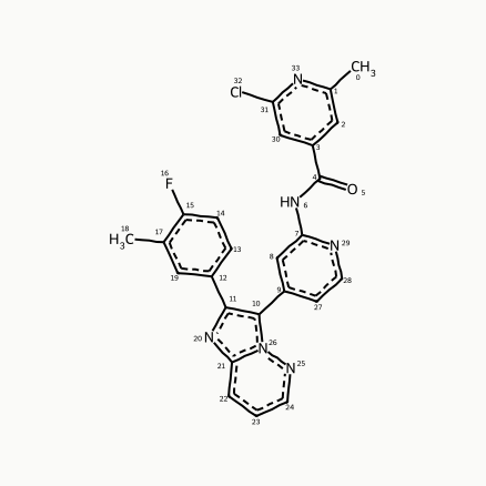 Cc1cc(C(=O)Nc2cc(-c3c(-c4ccc(F)c(C)c4)nc4cccnn34)ccn2)cc(Cl)n1